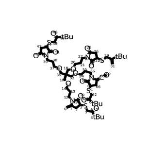 C=C1CC(SCC(=O)C(C)(C)C)C(=O)N1CCCOCC(COCCCN1C(=O)CC(SCC(=C)C(C)(C)C)C1=O)(COCCCN1C(=O)CC(SCC(=O)C(C)(C)C)C1=O)COCCCN1C(=O)C(SCC(=O)C(C)(C)C)CC1=C=O